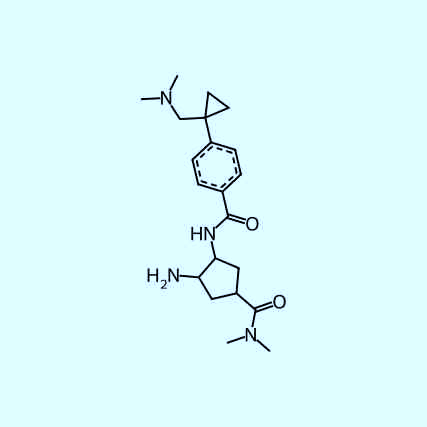 CN(C)CC1(c2ccc(C(=O)NC3CC(C(=O)N(C)C)CC3N)cc2)CC1